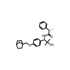 C[C@H](C(=O)N[C@H](c1ccc(OCC23CCC(CC2)C3)cc1)C(C)(C)O)c1ccccc1